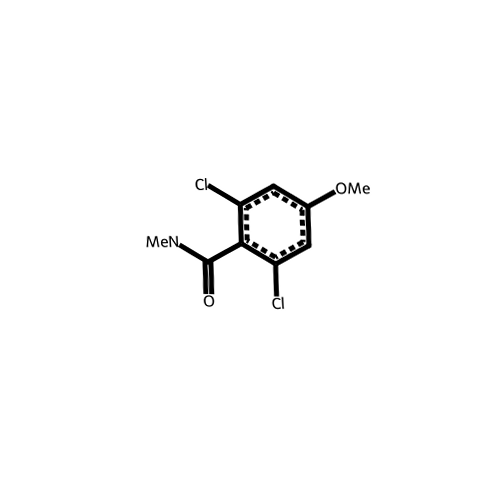 CNC(=O)c1c(Cl)cc(OC)cc1Cl